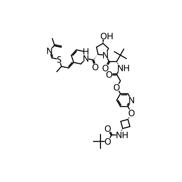 C=C(C)/N=C\SC(C)/C=C(\C=C/C)CNC(=O)[C@@H]1C[C@@H](O)CN1C(=O)[C@@H](NC(=O)COc1ccc(O[C@H]2C[C@@H](NC(=O)OC(C)(C)C)C2)nc1)C(C)(C)C